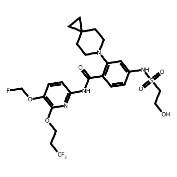 O=C(Nc1ccc(OCF)c(OCCC(F)(F)F)n1)c1ccc(NS(=O)(=O)CCO)cc1N1CCC2(CC1)CC2